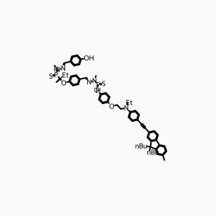 CCCCC1(CCCC)c2cc(C)ccc2-c2ccc(C#Cc3ccc(N(CC)CCOc4ccc(O[PH](=S)N(C)N=Cc5ccc(O[C@@](C)(CC)[PH](=S)N(C)N=Cc6ccc(O)cc6)cc5)cc4)cc3)cc21